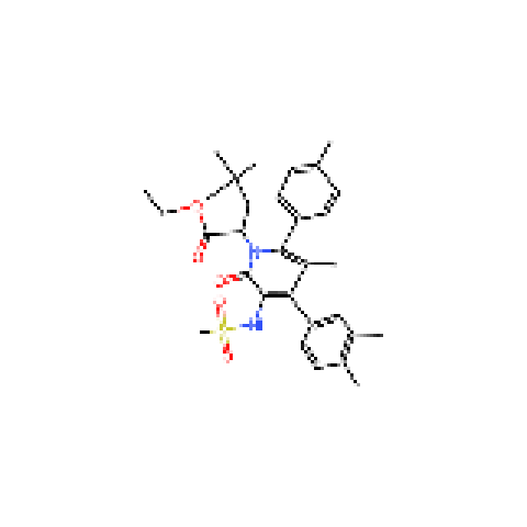 CCOC(=O)C(CC(C)(C)C)n1c(-c2ccc(C)cc2)c(C)c(-c2ccc(C)c(C)c2)c(NS(C)(=O)=O)c1=O